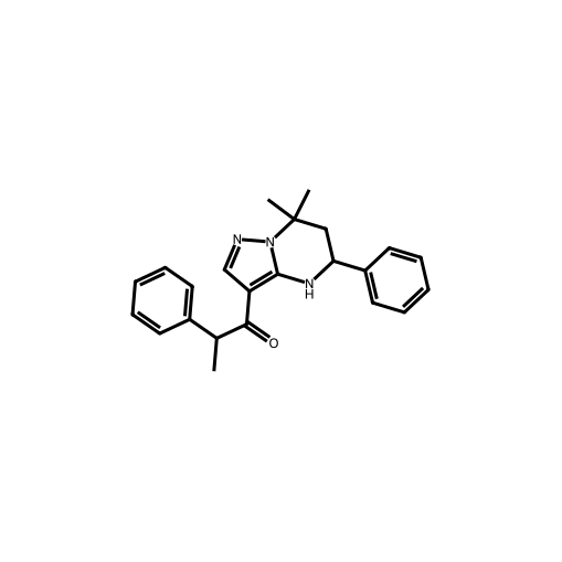 CC(C(=O)c1cnn2c1NC(c1ccccc1)CC2(C)C)c1ccccc1